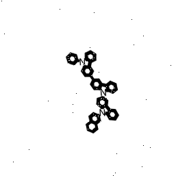 C1=Cc2cc(-n3c4ccccc4c4cc(-n5c6ccccc6c6cc(-c7ccc8c(c7)c7ccccc7n8-c7ccccc7)ccc65)ccc43)ccc2CC1